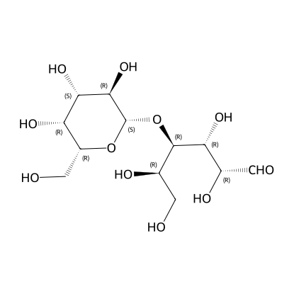 O=C[C@H](O)[C@@H](O)[C@H](O[C@@H]1O[C@H](CO)[C@H](O)[C@H](O)[C@H]1O)[C@H](O)CO